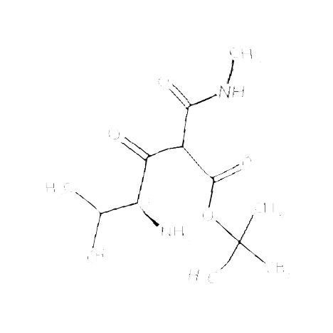 CNC(=O)C(C(=O)OC(C)(C)C)C(=O)[C@@H](N)C(C)C